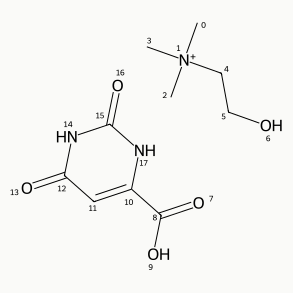 C[N+](C)(C)CCO.O=C(O)c1cc(=O)[nH]c(=O)[nH]1